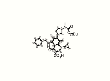 CC(C)(C)OC(=O)NC1CCN(c2c(F)c(NCc3ccccc3)c3c(=O)c(C(=O)O)cn(C4CC4)c3c2F)C1